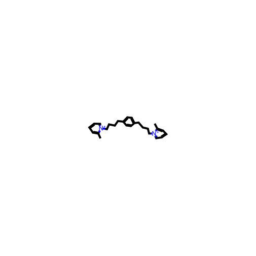 Cc1cccc[n+]1CCCCc1ccc(CCCC[n+]2ccccc2C)cc1